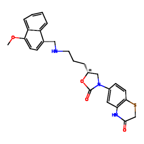 COc1ccc(CNCCC[C@@H]2CN(c3ccc4c(c3)NC(=O)CS4)C(=O)O2)c2ccccc12